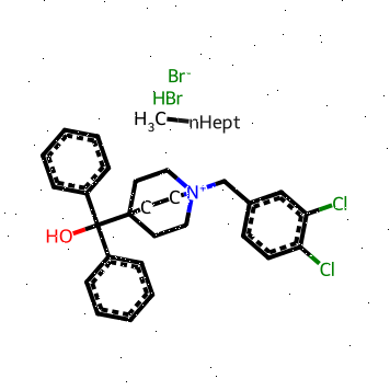 Br.CCCCCCCC.OC(c1ccccc1)(c1ccccc1)C12CC[N+](Cc3ccc(Cl)c(Cl)c3)(CC1)CC2.[Br-]